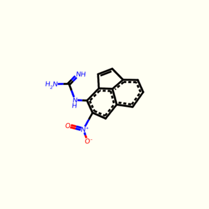 N=C(N)Nc1c([N+](=O)[O-])cc2cccc3c2c1C=C3